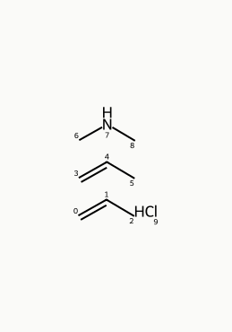 C=CC.C=CC.CNC.Cl